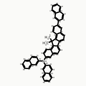 CC1(C)c2c(ccc3cc(-c4ccc5ccccc5c4)ccc23)-c2ccc3cc(N(c4ccc5ccccc5c4)c4ccc5ccccc5c4)ccc3c21